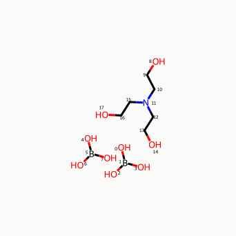 OB(O)O.OB(O)O.OCCN(CCO)CCO